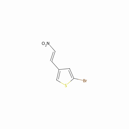 O=[N+]([O-])C=Cc1csc(Br)c1